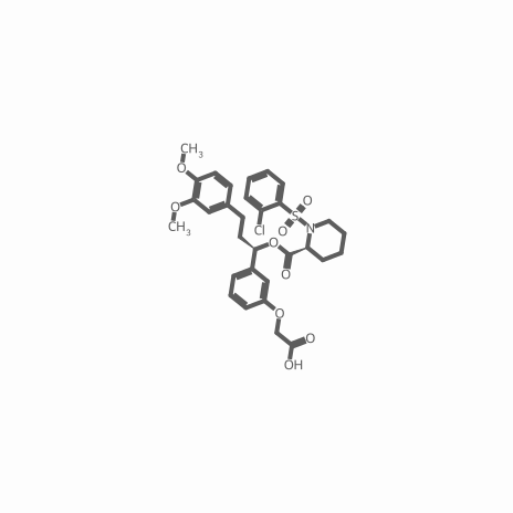 COc1ccc(CC[C@@H](OC(=O)[C@@H]2CCCCN2S(=O)(=O)c2ccccc2Cl)c2cccc(OCC(=O)O)c2)cc1OC